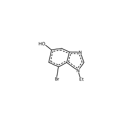 CCn1cnc2cc(O)cc(Br)c21